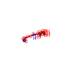 O=C(CCOCCOCCC(=O)ON1C(=O)CCC1=O)NCCO[C@H]1OC(CO)[C@@H](O)C(O[C@H]2OC(CO)[C@@H](O)C(O)C2O)C1O